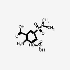 CN(C)S(=O)(=O)c1ccc(N)c(C(=O)O)c1.O=[PH](O)O